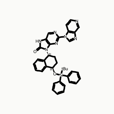 CC(C)(C)[Si](O[C@@H]1CC[C@@H](n2c(=O)[nH]c3cnc(-n4cnc5cnccc54)nc32)c2ccccc21)(c1ccccc1)c1ccccc1